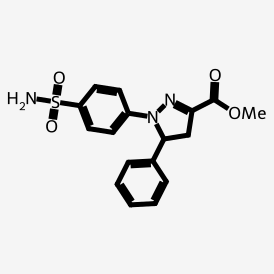 COC(=O)C1=NN(c2ccc(S(N)(=O)=O)cc2)C(c2ccccc2)C1